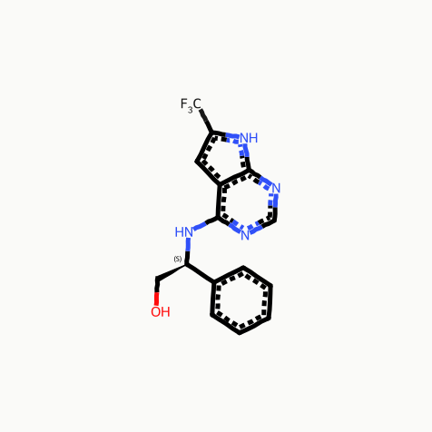 OC[C@@H](Nc1ncnc2[nH]c(C(F)(F)F)cc12)c1ccccc1